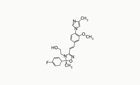 COc1cc(/C=C/C2=NO[C@](C)(C3C=CC(F)=CC3)N2CCO)ccc1-n1cnc(C)c1